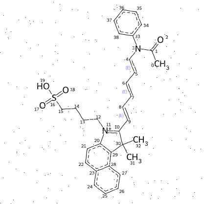 CC(=O)N(/C=C/C=C/C=C/C1=[N+](CCCCS(=O)(=O)O)c2ccc3ccccc3c2C1(C)C)c1ccccc1